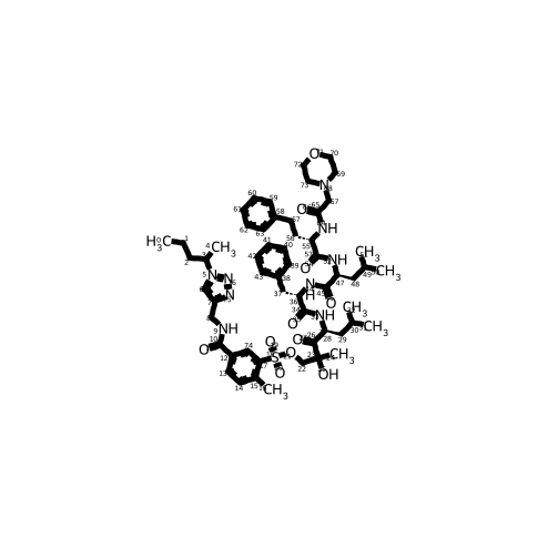 CCCC(C)n1cc(CNC(=O)c2ccc(C)c(S(=O)(=O)OCC(C)(O)C(=O)[C@H](CC(C)C)NC(=O)[C@H](Cc3ccccc3)NC(=O)[C@H](CC(C)C)NC(=O)[C@H](CCc3ccccc3)NC(=O)CN3CCOCC3)c2)nn1